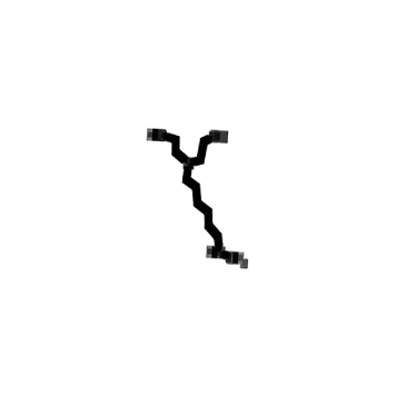 CNCCCCCCN(CCO)CCO